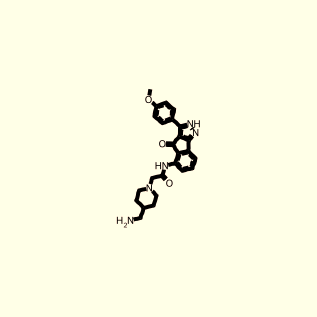 COc1ccc(-c2[nH]nc3c2C(=O)c2c(NC(=O)CN4CCC(CN)CC4)cccc2-3)cc1